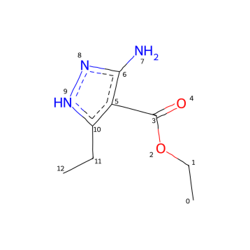 CCOC(=O)c1c(N)n[nH]c1CC